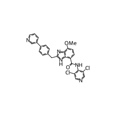 COc1ccc(C(=O)Nc2c(Cl)cncc2Cl)c2[nH]c(Cc3ccc(-c4cccnc4)cc3)nc12